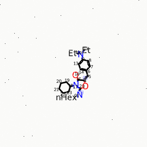 CCCCCC/N=C1/O/C(=C/c2ccc(N(CC)CC)cc2)C(=O)N1C1CCCCC1